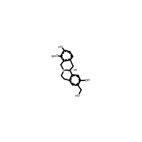 COc1c(O)ccc2c1CN1CCc3cc(CO)c(O)cc3[C@@H]1C2